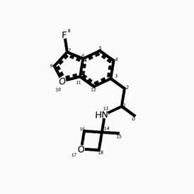 CC(Cc1ccc2c(F)coc2c1)NC1(C)COC1